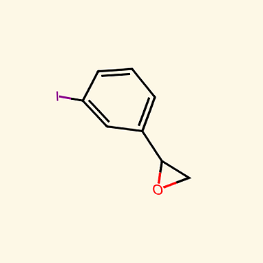 Ic1cccc(C2CO2)c1